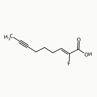 CC#CCCC/C=C(\F)C(=O)O